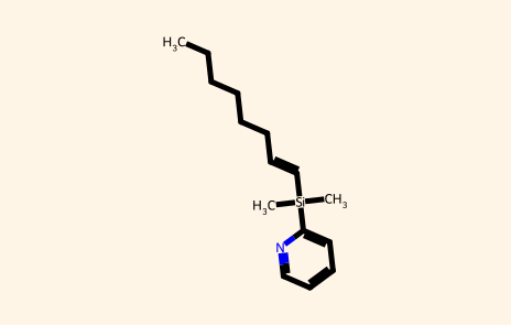 CCCCCC/C=C/[Si](C)(C)c1ccccn1